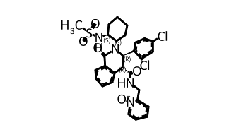 CS(=O)(=O)N[C@H]1CCCC[C@@H]1N1C(=O)c2ccccc2[C@@H](C(=O)NCc2cccc[n+]2[O-])[C@@H]1c1ccc(Cl)cc1Cl